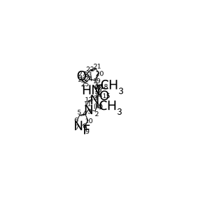 C[C@@H]1CN(C2=CC=NC(F)C2)CCN1C(=O)N[C@H](C)c1cccc2c1CCO2